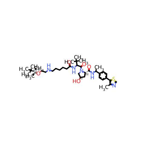 Cc1ncsc1-c1ccc(C(C)NC(=O)[C@@H]2C[C@@H](O)CN2C(=O)C(NC(=O)CCCCCNCCO[Si](C)(C)C(C)(C)C)C(C)(C)C)cc1